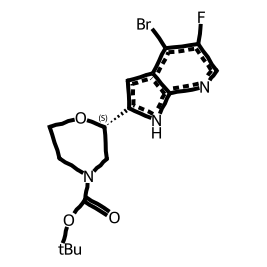 CC(C)(C)OC(=O)N1CCO[C@H](c2cc3c(Br)c(F)cnc3[nH]2)C1